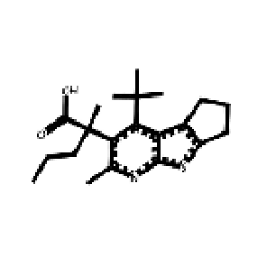 CCCC(C)(C(=O)O)c1c(C)nc2sc3c(c2c1C(C)(C)C)CCC3